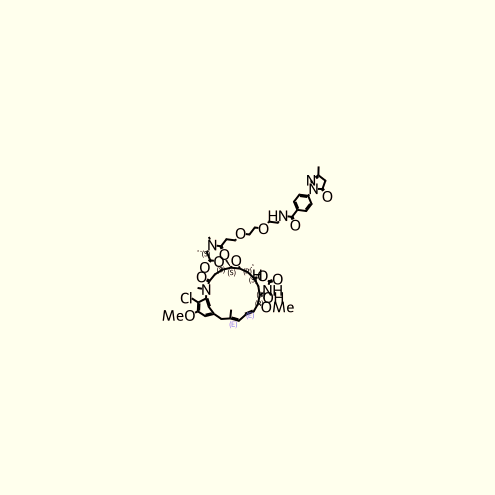 COc1cc2cc(c1Cl)N(C)C(=O)C[C@H](OC(=O)[C@H](C)N(C)C(=O)CCOCCOCCNC(=O)c1ccc(N3N=C(C)CC3=O)cc1)[C@]1(C)OC1[C@H](C)[C@@H]1C[C@@](O)(NC(=O)O1)[C@H](OC)/C=C/C=C(\C)C2